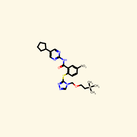 C[Si](C)(C)CCOCn1cnnc1Sc1ccc([N+](=O)[O-])cc1C(=O)Nc1ncc(C2CCCC2)cn1